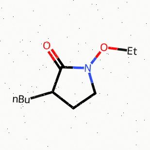 CCCCC1CCN(OCC)C1=O